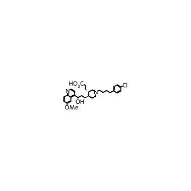 COc1ccc2nccc([C@H](O)CC[C@@H]3CCN(CCCCc4ccc(Cl)cc4)C[C@H]3CCC(=O)O)c2c1